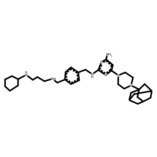 Nc1cc(N2CCN(C34CC5CC(CC(C5)C3)C4)CC2)nc(NCc2ccc(CNCCCNC3CCCCC3)cc2)n1